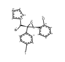 Fc1ccc([C@]2(C(Br)n3cncn3)O[C@H]2c2ccccc2Cl)cc1